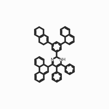 C1=CC2=CC=CC(c3cc(C4=CC5=C(C=CCC5)CC4)cc(C4N=C(C5C=C6C=CC=CC6C6C=CC=CC56)C(c5ccccc5)=C(c5ccccc5)N4)c3)C2C=C1